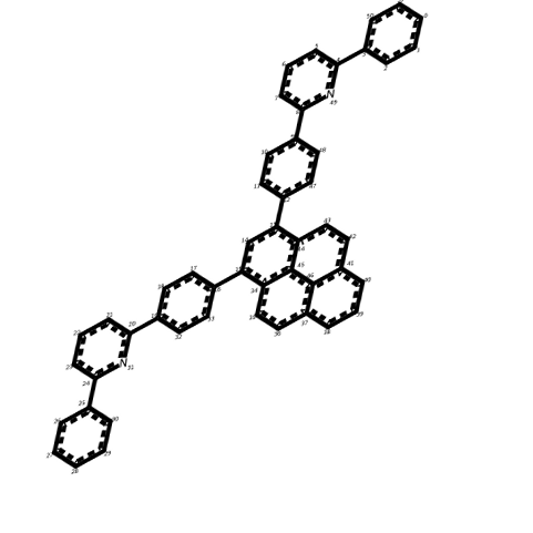 c1ccc(-c2cccc(-c3ccc(-c4cc(-c5ccc(-c6cccc(-c7ccccc7)n6)cc5)c5ccc6cccc7ccc4c5c76)cc3)n2)cc1